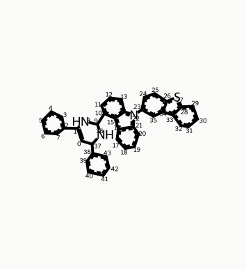 C1=C(c2ccccc2)NC(c2cccc3c2c2ccccc2n3-c2ccc3sc4ccccc4c3c2)NC1c1ccccc1